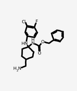 NCC1CCC(NC(=O)OCc2ccccc2)(Nc2ccc(F)c(Cl)c2)CC1